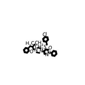 CC(C)(C)C(Cc1ccccc1)C(=O)N1CCN(c2cnn(-c3ccccc3)c(=O)c2SCc2ccc(Cl)cc2)CC1